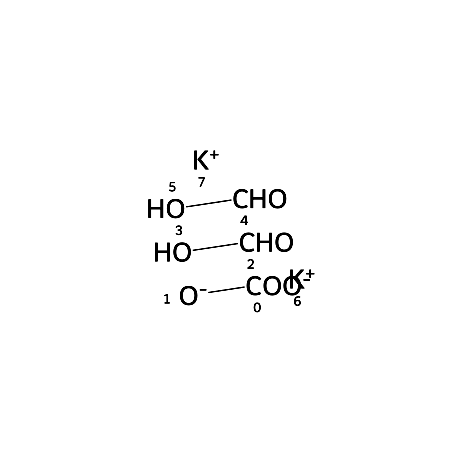 O=C([O-])[O-].O=CO.O=CO.[K+].[K+]